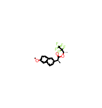 COc1ccc2cc([C@H](C)C(=O)O[C@@H](C)C(F)(F)C(F)(F)F)ccc2c1